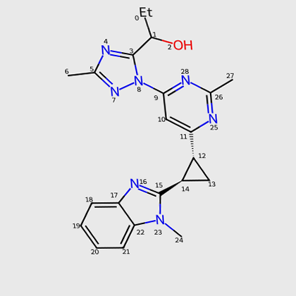 CCC(O)c1nc(C)nn1-c1cc([C@@H]2C[C@H]2c2nc3ccccc3n2C)nc(C)n1